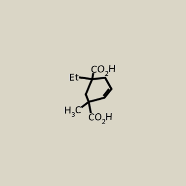 CCC1(C(=O)O)CC=CC(C)(C(=O)O)C1